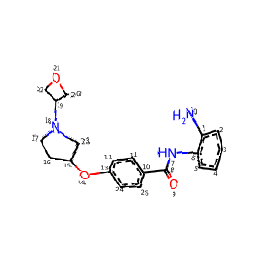 Nc1ccccc1NC(=O)c1ccc(OC2CCN(C3COC3)C2)cc1